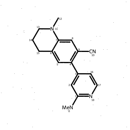 CNc1cc(-c2cc3c(cc2C#N)N(C)CCC3)ccn1